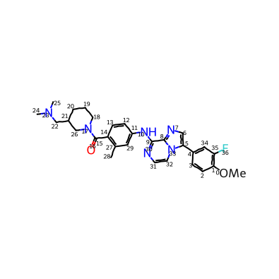 COc1ccc(-c2cnc3c(Nc4ccc(C(=O)N5CCCC(CN(C)C)C5)c(C)c4)nccn23)cc1F